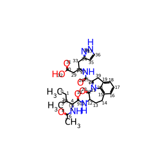 CC[C@H](C)[C@H](NC(C)=O)C(=O)NC1CCc2cccc3c2N(C1=O)[C@H](C(=O)N[C@@H](CC(=O)O)Cc1cc[nH]n1)C3